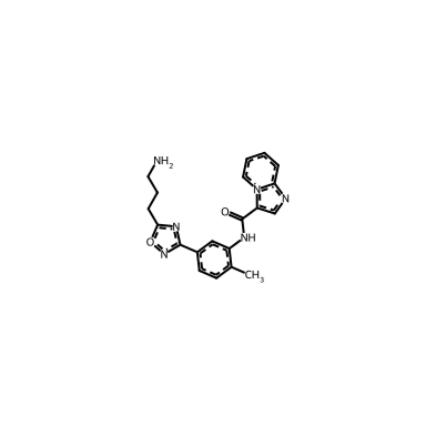 Cc1ccc(-c2noc(CCCN)n2)cc1NC(=O)c1cnc2ccccn12